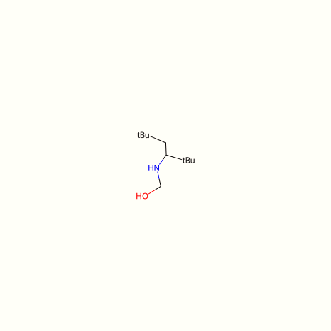 CC(C)(C)CC(NCO)C(C)(C)C